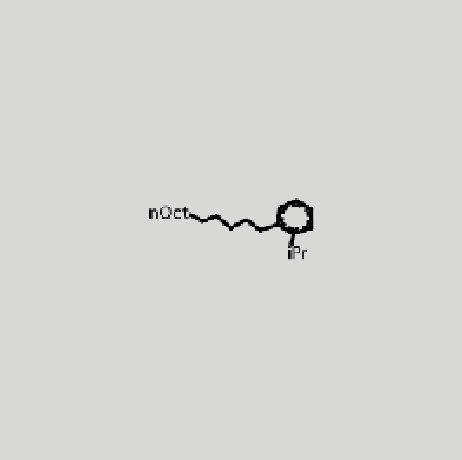 CCCCCCCCCCCCCc1ccccc1C(C)C